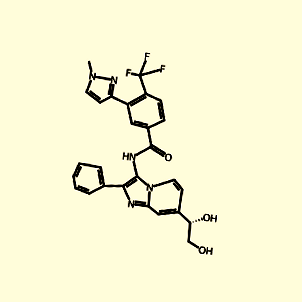 Cn1ccc(-c2cc(C(=O)Nc3c(-c4ccccc4)nc4cc([C@H](O)CO)ccn34)ccc2C(F)(F)F)n1